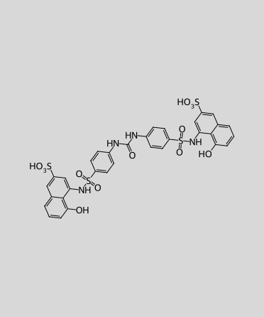 O=C(Nc1ccc(S(=O)(=O)Nc2cc(S(=O)(=O)O)cc3cccc(O)c23)cc1)Nc1ccc(S(=O)(=O)Nc2cc(S(=O)(=O)O)cc3cccc(O)c23)cc1